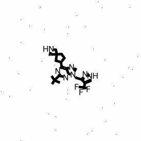 CC(C)(C)c1nc(C2CCC3(CNC3)C2)c2ncn(Cc3n[nH]cc3C(F)(F)F)c2n1